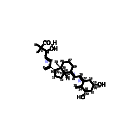 C=C(/C=C/[C@H](O)C(C)(C)C(=O)O)[C@H]1CC[C@H]2/C(=C/C=C3/C[C@@H](O)C[C@H](O)C3=C)CCC[C@]12C